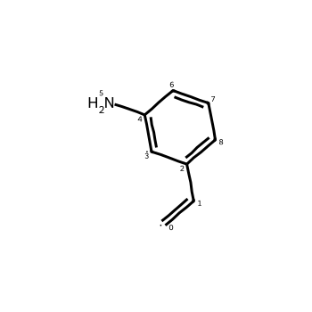 [CH]=Cc1[c]c(N)ccc1